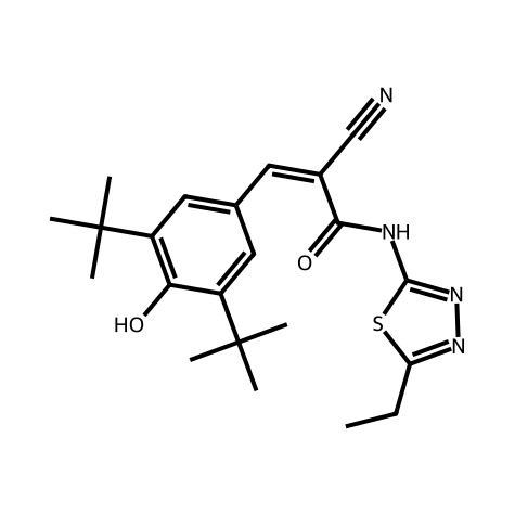 CCc1nnc(NC(=O)C(C#N)=Cc2cc(C(C)(C)C)c(O)c(C(C)(C)C)c2)s1